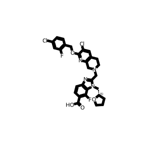 O=C(O)c1ccc2nc(CN3CCc4cc(Cl)c(OCc5ccc(Cl)cc5F)nc4C3)n(C[C@@H]3CCCO3)c2c1F